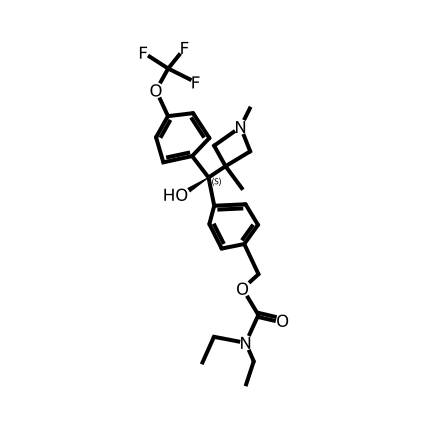 CCN(CC)C(=O)OCc1ccc([C@](O)(c2ccc(OC(F)(F)F)cc2)C2(C)CN(C)C2)cc1